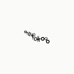 O=C(CN1CCc2nc(-c3ccc(Oc4ccccc4)cc3)sc2C1)N1CCN(C2CCC2)CC1